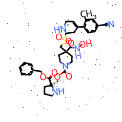 Cc1cc(C#N)ccc1C1=CCNC(S(=O)(=O)CC2(C(=O)NO)CCN(C(=O)OC[C@@]3(C(=O)OCc4ccccc4)CCCN3)CC2)C1